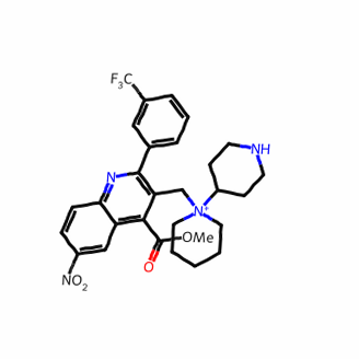 COC(=O)c1c(C[N+]2(C3CCNCC3)CCCCC2)c(-c2cccc(C(F)(F)F)c2)nc2ccc([N+](=O)[O-])cc12